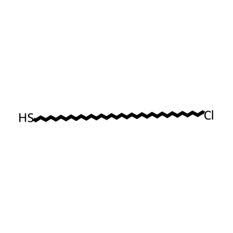 SCCCCCCCCCCCCCCCCCCCCCCCCCCCCCCCCCCCl